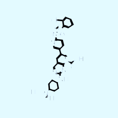 CC(C)n1c(=O)c(-c2ccc(NS(=O)(=O)c3ccccc3Cl)nc2)cc2cnc(N[C@H]3CC[C@H](N(C)C)CC3)nc21